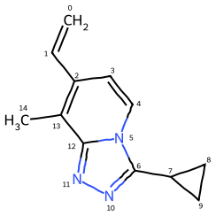 C=Cc1ccn2c(C3CC3)nnc2c1C